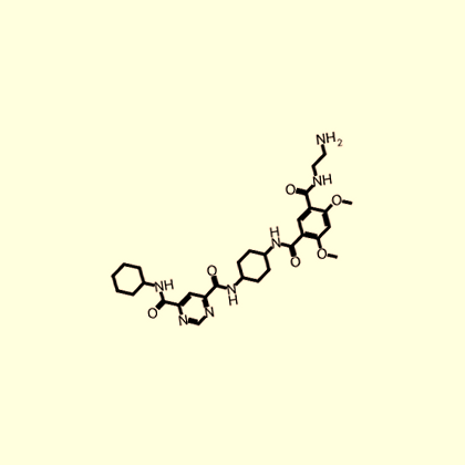 COc1cc(OC)c(C(=O)NC2CCC(NC(=O)c3cc(C(=O)NC4CCCCC4)ncn3)CC2)cc1C(=O)NCCN